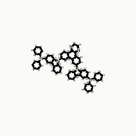 c1ccc(N(c2ccccc2)c2ccc3c(c2)c2ccccc2n3-c2ccc3c(c2)c2cc(-n4c5ccccc5c5cc(N(c6ccccc6)c6ccccc6)ccc54)ccc2c2nccnc32)cc1